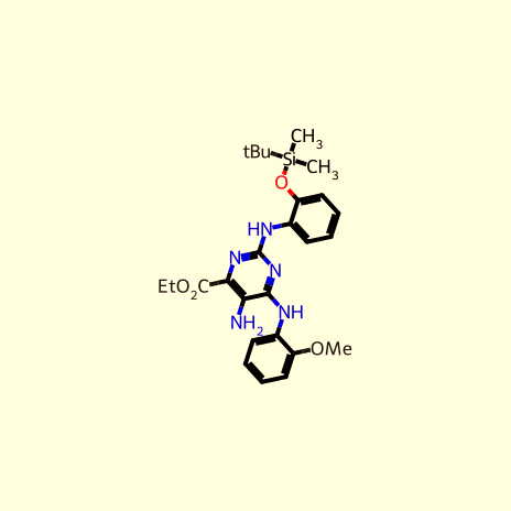 CCOC(=O)c1nc(Nc2ccccc2O[Si](C)(C)C(C)(C)C)nc(Nc2ccccc2OC)c1N